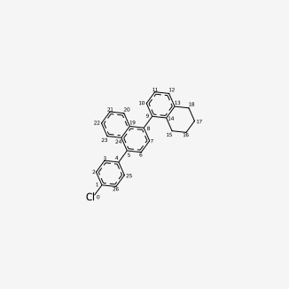 Clc1ccc(-c2ccc(-c3cccc4c3CCCC4)c3ccccc23)cc1